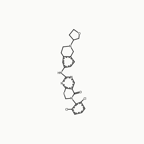 O=C1c2cnc(Nc3ccc4c(c3)CCN(C3CCOC3)C4)nc2SCN1c1c(Cl)cccc1Cl